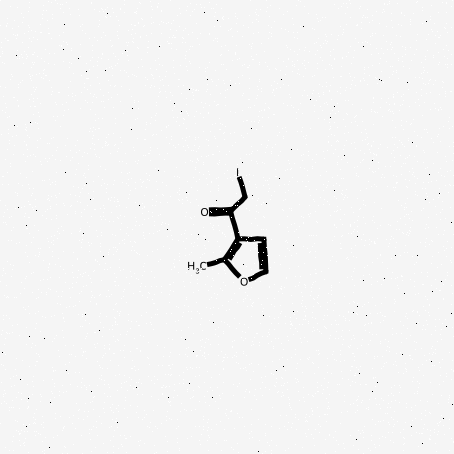 Cc1occc1C(=O)CI